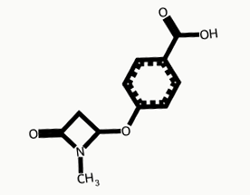 CN1C(=O)CC1Oc1ccc(C(=O)O)cc1